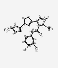 Cn1nc(C2=CC(c3cnc(C(F)(F)F)s3)CC2)c(C(=O)Nc2ccc(F)c(Cl)c2)c1N